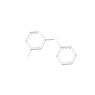 CCCCCCc1ccnc(Nc2ccccc2)c1